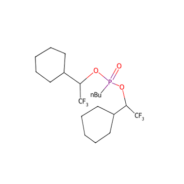 CCCCP(=O)(OC(C1CCCCC1)C(F)(F)F)OC(C1CCCCC1)C(F)(F)F